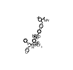 C=C(CCC)C1=C(CN2CCN(c3ccc(C(=O)NS(=O)(=O)c4ccc(N[C@H](CCN5CCOCC5)CSc5ccccc5)c(S(=O)(=O)C(F)(F)F)c4)cc3)CC2)CCC(C)(C)C1